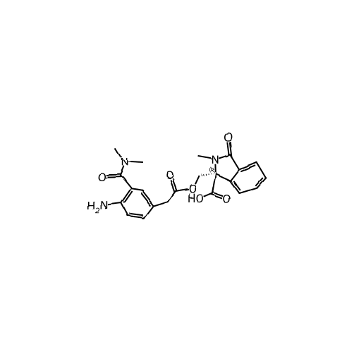 CN(C)C(=O)c1cc(CC(=O)OC[C@@]2(C(=O)O)c3ccccc3C(=O)N2C)ccc1N